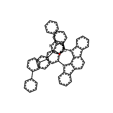 c1ccc(-c2cccc(-c3cc(-n4c5ccccc5c5ccc6c7ccccc7n(-c7nc(-c8ccccc8)nc(-c8ccccc8)n7)c6c54)c4oc5ccccc5c4c3)c2)cc1